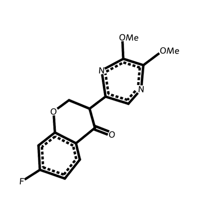 COc1ncc(C2COc3cc(F)ccc3C2=O)nc1OC